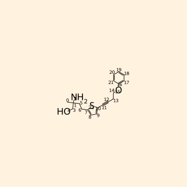 CC(N)(CO)CCc1ccc(C#CCCOc2ccccc2)s1